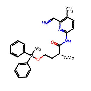 CN[C@H](CCO[Si](c1ccccc1)(c1ccccc1)C(C)(C)C)C(=O)Nc1ccc(C)c(C=N)n1